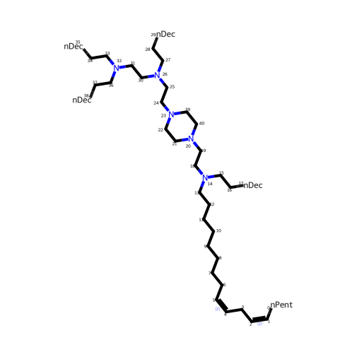 CCCCC/C=C\C/C=C\CCCCCCCCN(CCCCCCCCCCCC)CCN1CCN(CCN(CCCCCCCCCCCC)CCN(CCCCCCCCCCCC)CCCCCCCCCCCC)CC1